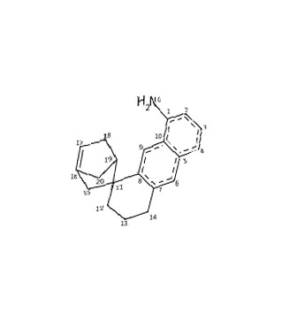 Nc1cccc2cc3c(cc12)C1(CCC3)CC2=CCC1C2